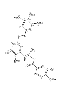 COc1ccc(C(=O)CC(C)Nc2cc(CCc3cc(OC)c(OC)c(OC)c3)cc(O)c2OC)cc1Cl